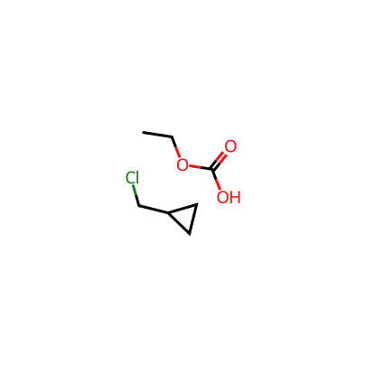 CCOC(=O)O.ClCC1CC1